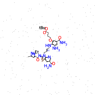 CCn1nc(C)cc1C(=O)/N=c1\sc2cc(C(N)=O)cnc2n1C/C=C/CNc1c(N)cc(C(N)=O)cc1OCCCC(=O)OC(C)(C)C